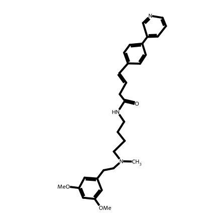 COc1cc(CCN(C)CCCCNC(=O)C/C=C/c2ccc(-c3cccnc3)cc2)cc(OC)c1